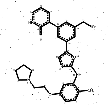 Cc1ccc(OCCN2CCCC2)cc1Nc1ncc(-c2cc(CC(C)C)cc(-c3ccc[nH]c3=O)c2)o1